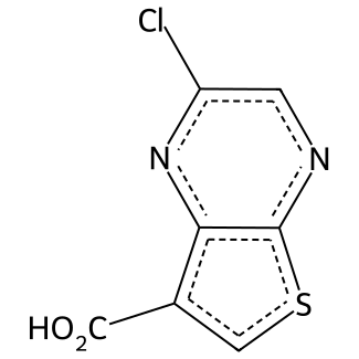 O=C(O)c1csc2ncc(Cl)nc12